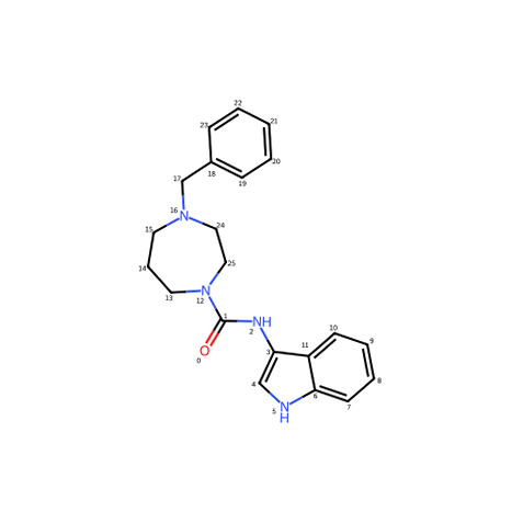 O=C(Nc1c[nH]c2ccccc12)N1CCCN(Cc2ccccc2)CC1